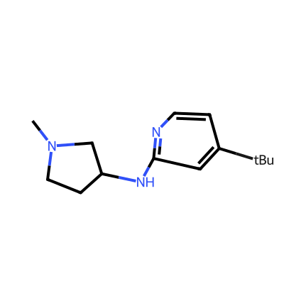 CN1CCC(Nc2cc(C(C)(C)C)ccn2)C1